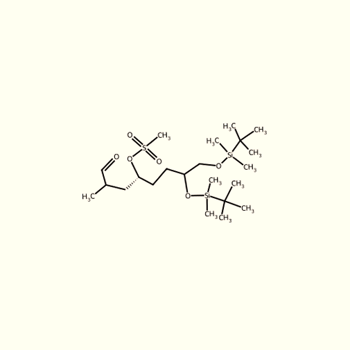 CC(C=O)C[C@@H](CCC(CO[Si](C)(C)C(C)(C)C)O[Si](C)(C)C(C)(C)C)OS(C)(=O)=O